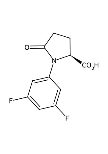 O=C(O)[C@@H]1CCC(=O)N1c1cc(F)cc(F)c1